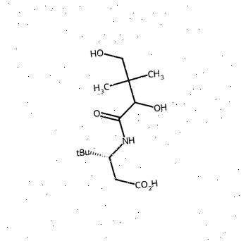 CC(C)(CO)C(O)C(=O)N[C@H](CC(=O)O)C(C)(C)C